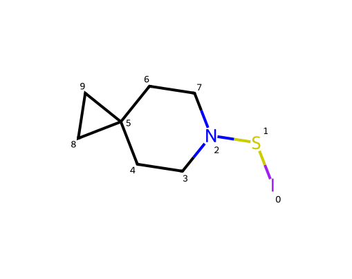 ISN1CCC2(CC1)CC2